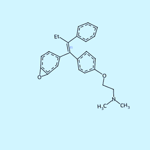 CC/C(=C(/c1ccc(OCCN(C)C)cc1)c1ccc2c(c1)O2)c1ccccc1